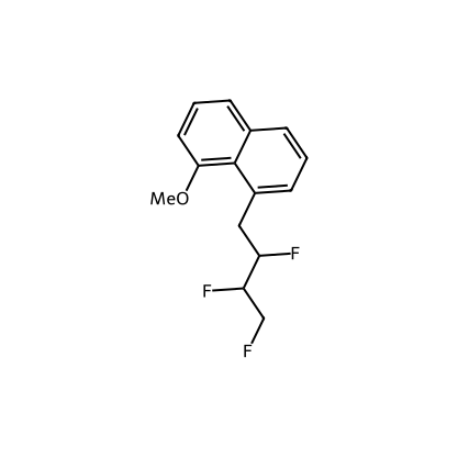 COc1cccc2cccc(CC(F)C(F)CF)c12